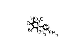 Cc1c(Br)c(=O)c(C(=O)O)cn1-c1cnn(C)c1